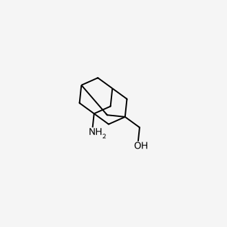 NC12CC3CC(C1)CC(CO)(C3)C2